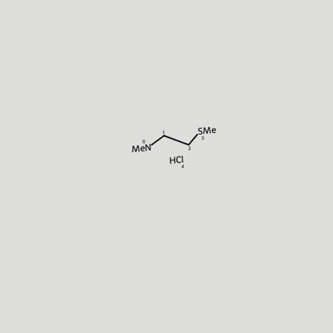 CNCCSC.Cl